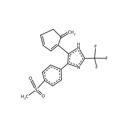 C=C1CC=CC=C1c1[nH]c(C(F)(F)F)nc1-c1ccc(S(C)(=O)=O)cc1